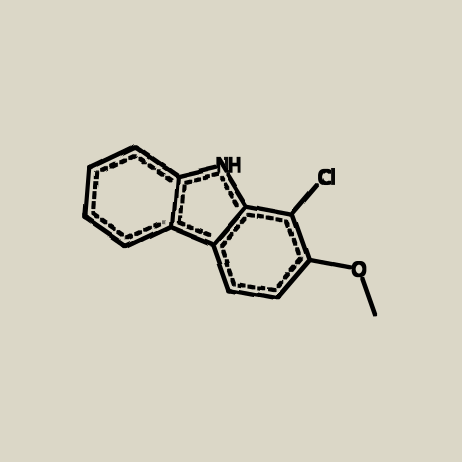 COc1ccc2c([nH]c3ccccc32)c1Cl